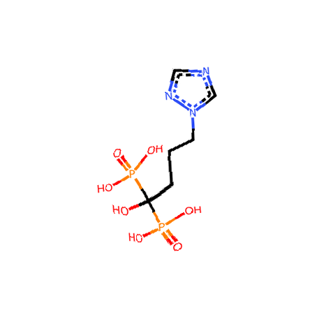 O=P(O)(O)C(O)(CCCn1cncn1)P(=O)(O)O